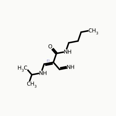 CCCCNC(=O)/C(C=N)=C/NC(C)C